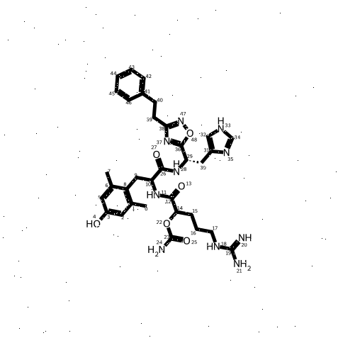 Cc1cc(O)cc(C)c1CC(NC(=O)C(CCCNC(=N)N)OC(N)=O)C(=O)N[C@@H](Cc1c[nH]cn1)c1nc(CCc2ccccc2)no1